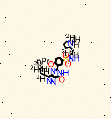 [2H]C([2H])([2H])CC([2H])([2H])c1nn(C)c2c(=O)[nH]c(-c3cc(S(=O)(=O)NC([2H])([2H])CC4CCCN4C([2H])([2H])[2H])ccc3OCCC)nc12